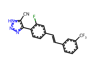 N#Cc1[nH]nnc1-c1ccc(/C=C/c2cccc(C(F)(F)F)c2)cc1F